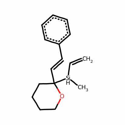 C=C[SiH](C)C1(C=Cc2ccccc2)CCCCO1